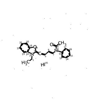 CCN1C(=C=CC=CN(C(C)=O)c2ccccc2)Oc2ccccc21.I